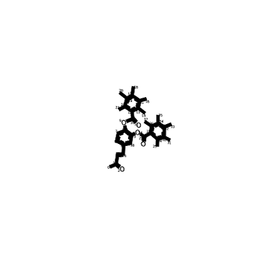 CC(=O)/C=C/c1ccc(OC(=O)c2c(C)c(C)c(C)c(C)c2C)c(OC(=O)c2c(C)c(C)c(C)c(C)c2C)c1